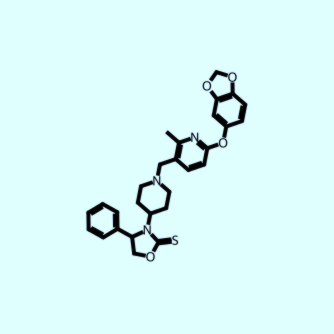 Cc1nc(Oc2ccc3c(c2)OCO3)ccc1CN1CCC(N2C(=S)OCC2c2ccccc2)CC1